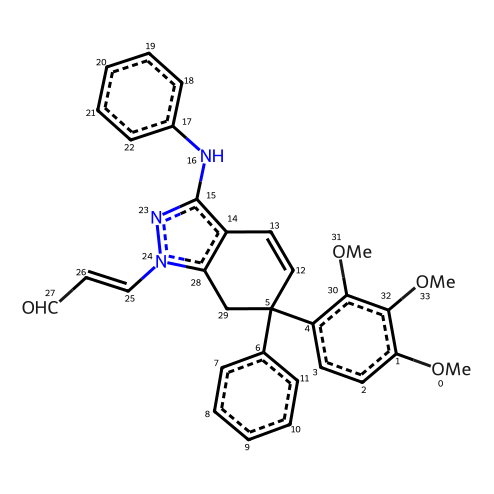 COc1ccc(C2(c3ccccc3)C=Cc3c(Nc4ccccc4)nn(C=CC=O)c3C2)c(OC)c1OC